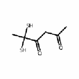 CC(=O)CC(=O)C(C)(S)S